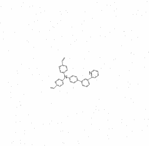 C=Cc1ccc(N(c2ccc(C=C)cc2)c2ccc(-c3cccc(-c4ccccn4)c3)cc2)cc1